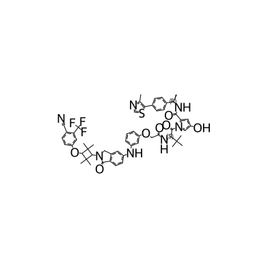 Cc1ncsc1-c1ccc([C@@H](C)NC(=O)c2cc(O)cn2C(=O)[C@@H](NC(=O)COc2cccc(Nc3ccc4c(c3)CN(C3C(C)(C)C(Oc5ccc(C#N)c(C(F)(F)F)c5)C3(C)C)C4=O)c2)C(C)(C)C)cc1